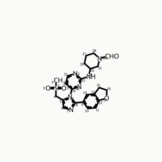 CS(=O)(=O)Cc1cnc(-c2ccc3c(c2)CCO3)n1-c1ccnc(NC2CCCN(C=O)C2)n1